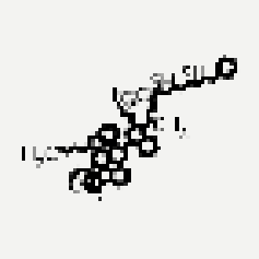 C=CCC/C=C1\CC2=C(CCC=C2)C12CC(C/C=C\C)C1(C3=C(C=CCC3)C3CC=CCC31)C1=C2CC(C2C/C(=C\C=C/C)C(C(C)C/C=C(\C)C(S)C/C=C/C(S)=C/CCC3C=CCCC3)=C3CCCCC32)CC1